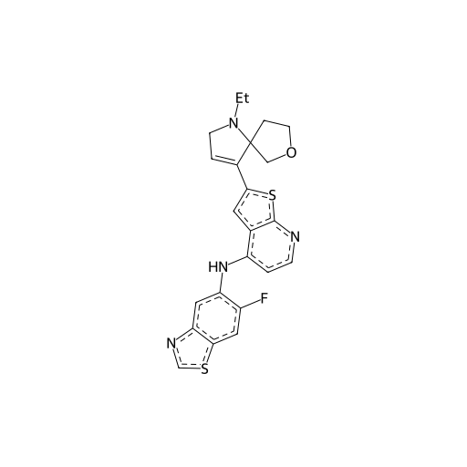 CCN1CC=C(c2cc3c(Nc4cc5ncsc5cc4F)ccnc3s2)C12CCOC2